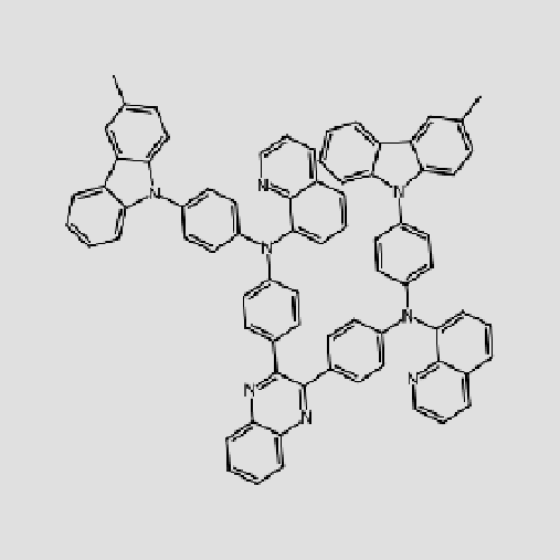 Cc1ccc2c(c1)c1ccccc1n2-c1ccc(N(c2ccc(-c3nc4ccccc4nc3-c3ccc(N(c4ccc(-n5c6ccccc6c6cc(C)ccc65)cc4)c4cccc5cccnc45)cc3)cc2)c2cccc3cccnc23)cc1